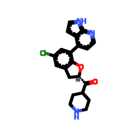 O=C(C1CCNCC1)[C@@H]1Cc2cc(Cl)cc(-c3ccnc4[nH]ccc34)c2O1